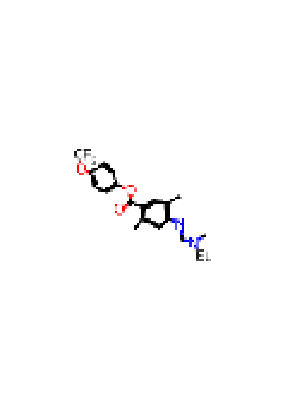 CCN(C)/C=N/c1cc(C)c(C(=O)Oc2ccc(OC(F)(F)F)cc2)cc1C